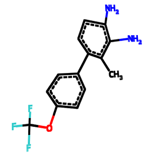 Cc1c(-c2ccc(OC(F)(F)F)cc2)ccc(N)c1N